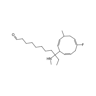 CCC(CCCCCCCC=O)(NC)C1C=CC(C)C/C=C(/F)C/C=C\1